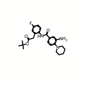 CC(C)(C)OC(=O)Cc1cc(F)ccc1NC(=O)c1ccc(N2CCCCC2)c(N)c1